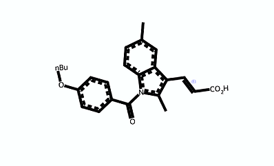 CCCCOc1ccc(C(=O)n2c(C)c(/C=C/C(=O)O)c3cc(C)ccc32)cc1